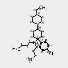 CCCCN(CCCC)C1(c2ccc(Cl)cc2)CCC(N2CCC(CC)CC2)CC1